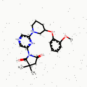 CCOc1ccccc1OC1CCCN(c2cncc(N3C(=O)CC(C)(C)C3=O)n2)C1